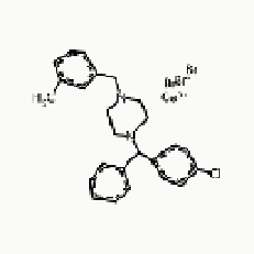 Cc1cccc(CN2CCN(C(c3ccccc3)c3ccc(Cl)cc3)CC2)c1.[Br-].[Br-].[Br-].[Ga+3]